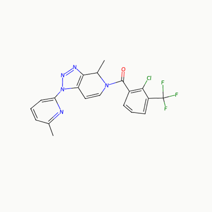 Cc1cccc(-n2nnc3c2C=CN(C(=O)c2cccc(C(F)(F)F)c2Cl)C3C)n1